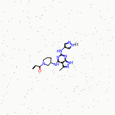 C=CC(=O)N1CCCC(Nc2nc(Nc3cnn(CC)c3)nc3[nH]nc(C)c23)C1